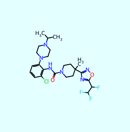 CC(C)N1CCN(c2cccc(Cl)c2NC(=O)N2CCC(C)(c3noc(C(F)C(F)F)n3)CC2)CC1